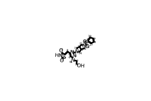 CN(CCO)c1cc(/C=C2\SC(=O)NC2=O)nc(N2CC3CN(S(=O)(=O)c4ccccc4)CC3C2)n1